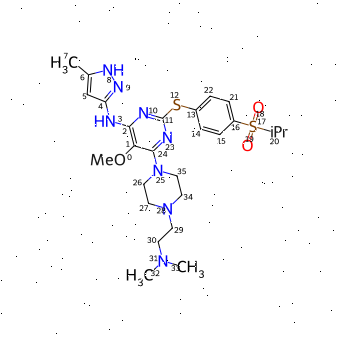 COc1c(Nc2cc(C)[nH]n2)nc(Sc2ccc(S(=O)(=O)C(C)C)cc2)nc1N1CCN(CCN(C)C)CC1